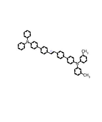 Cc1cccc(N(c2ccc(-c3ccc(/C=C/c4ccc(-c5ccc(N(c6ccccc6)c6ccccc6)cc5)cc4)cc3)cc2)c2cccc(C)c2)c1